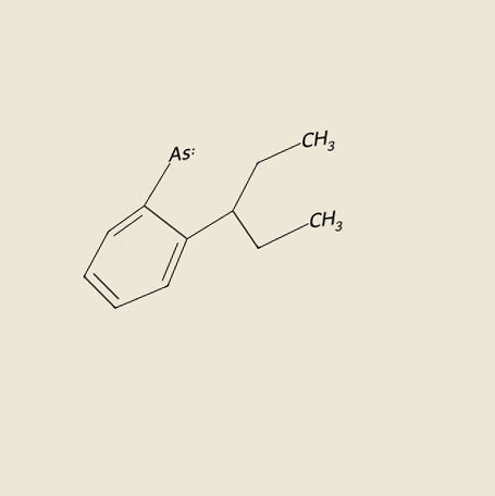 CCC(CC)c1ccccc1[As]